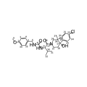 COc1ccc(CNC(=O)N[C@@H](C(=O)N2CCC(O)(c3ccc(Cl)cc3)C(C)(C)C2)C(C)C)cc1